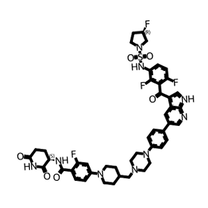 O=C1CC[C@H](NC(=O)c2ccc(N3CCC(CN4CCN(c5ccc(-c6cnc7[nH]cc(C(=O)c8c(F)ccc(NS(=O)(=O)N9CC[C@@H](F)C9)c8F)c7c6)cc5)CC4)CC3)cc2F)C(=O)N1